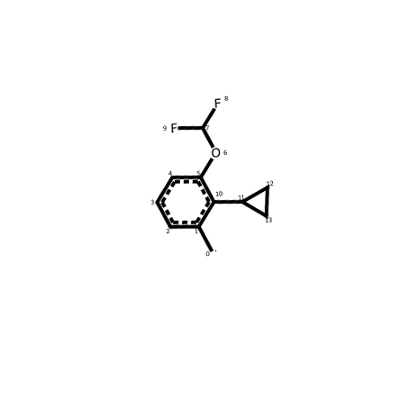 [CH2]c1cccc(OC(F)F)c1C1CC1